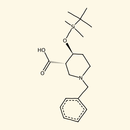 CC(C)(C)[Si](C)(C)O[C@H]1CCN(Cc2ccccc2)C[C@@H]1C(=O)O